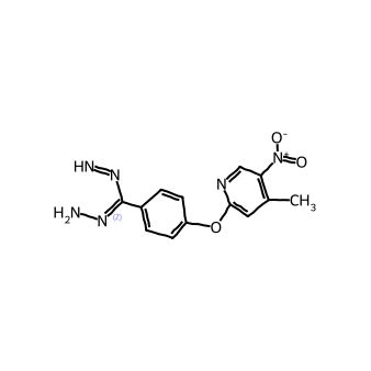 Cc1cc(Oc2ccc(/C(N=N)=N/N)cc2)ncc1[N+](=O)[O-]